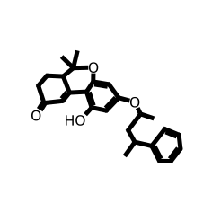 CC(CC(C)c1ccccc1)Oc1cc(O)c2c(c1)OC(C)(C)C1CCC(=O)C=C21